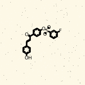 O=C(/C=C/c1ccc(O)cc1)c1ccc(OS(=O)(=O)c2cccc(F)c2)cc1